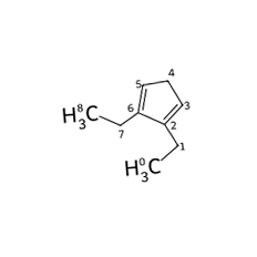 CCC1=CCC=C1CC